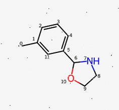 [CH2]c1cccc(C2NCCO2)c1